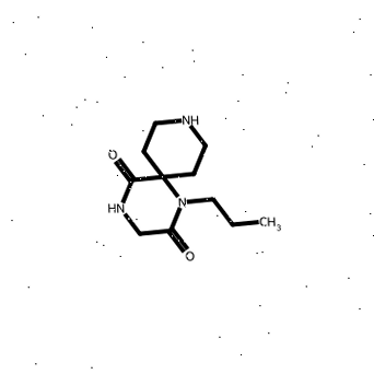 CCCN1C(=O)CNC(=O)C12CCNCC2